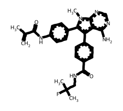 C=C(C)C(=O)Nc1ccc(-c2c(-c3ccc(C(=O)NCC(C)(C)F)cc3)c3c(N)ncnc3n2C)cc1